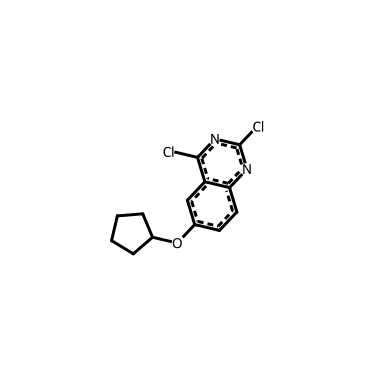 Clc1nc(Cl)c2cc(OC3CCCC3)ccc2n1